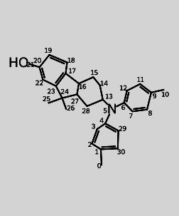 Cc1ccc(N(c2ccc(C)cc2)C2CCC3c4ccc(O)cc4C(C)(C)C3C2)cc1